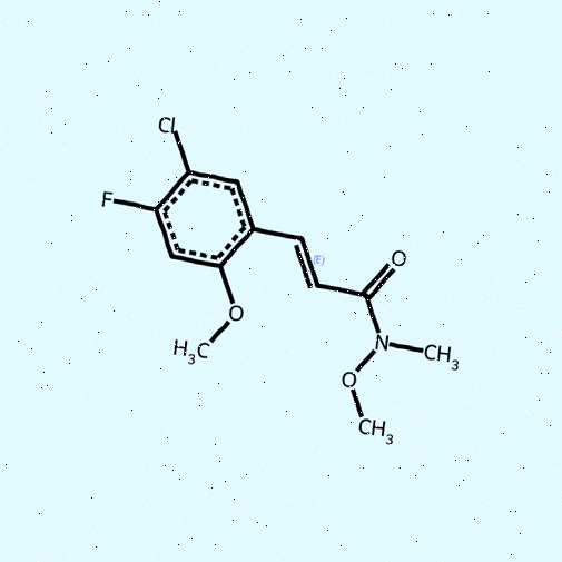 COc1cc(F)c(Cl)cc1/C=C/C(=O)N(C)OC